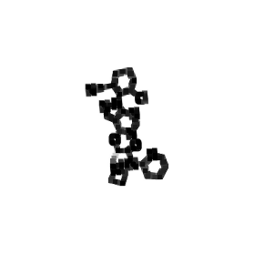 N#Cc1cccc(Cl)c1-n1ncc2c(O[C@@H](CN3CCC3)C(=O)Nc3ccccn3)ncnc21